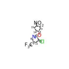 O=[N+]([O-])c1ccc(Oc2ncc(C(F)(F)F)cc2Cl)cc1